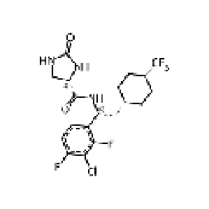 O=C1NC[C@@H](C(=O)N[C@H](C[C@H]2CC[C@@H](C(F)(F)F)CC2)c2ccc(F)c(Cl)c2F)N1